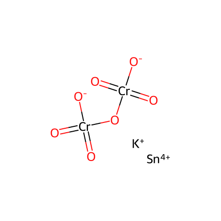 [K+].[O]=[Cr](=[O])([O-])[O][Cr](=[O])(=[O])[O-].[Sn+4]